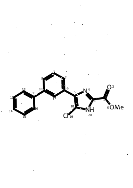 COC(=O)c1nc(-c2cccc(-c3ccccc3)c2)c(Cl)[nH]1